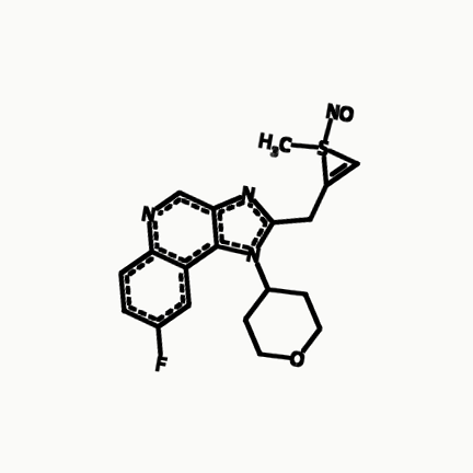 CS1(N=O)C=C1Cc1nc2cnc3ccc(F)cc3c2n1C1CCOCC1